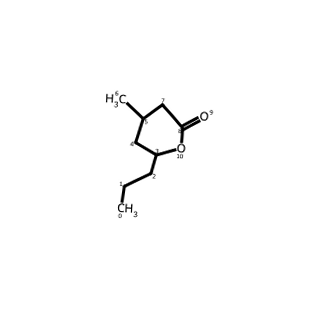 CCCC1CC(C)CC(=O)O1